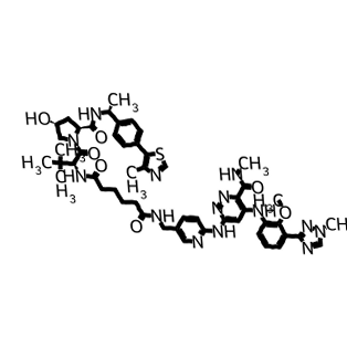 CNC(=O)c1nnc(Nc2ccc(CNC(=O)CCCCC(=O)N[C@H](C(=O)N3C[C@H](O)C[C@H]3C(=O)N[C@@H](C)c3ccc(-c4scnc4C)cc3)C(C)(C)C)cn2)cc1Nc1cccc(-c2ncn(C)n2)c1OC